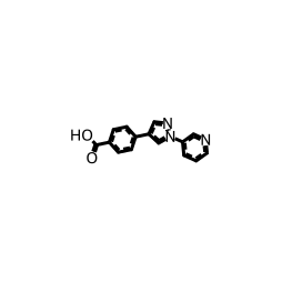 O=C(O)c1ccc(-c2cnn(-c3cccnc3)c2)cc1